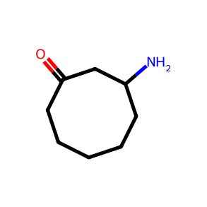 NC1CCCCCC(=O)C1